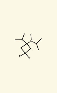 CC(C)N(C)C1(C(C)C)CC(F)(F)C1